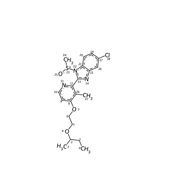 CCC(C)OCCOc1ccnc(-c2nc3cc(Cl)ccc3n2[S+](C)[O-])c1C